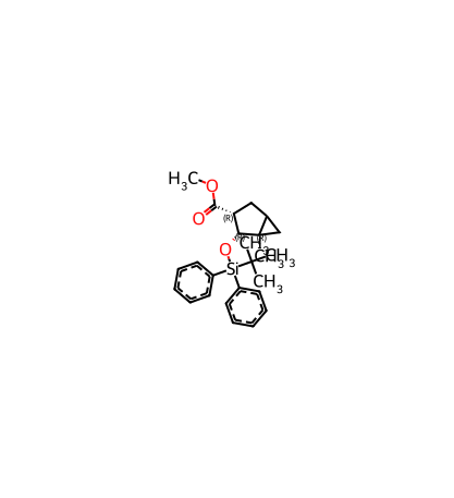 COC(=O)[C@@H]1CC2C[C@@]2(C)[C@@H]1O[Si](c1ccccc1)(c1ccccc1)C(C)(C)C